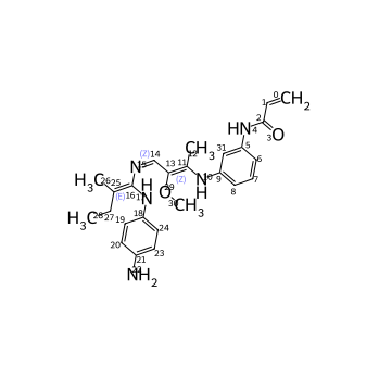 C=CC(=O)Nc1cccc(N/C(C)=C(/C=N\C(Nc2ccc(N)cc2)=C(/C)CC)OC)c1